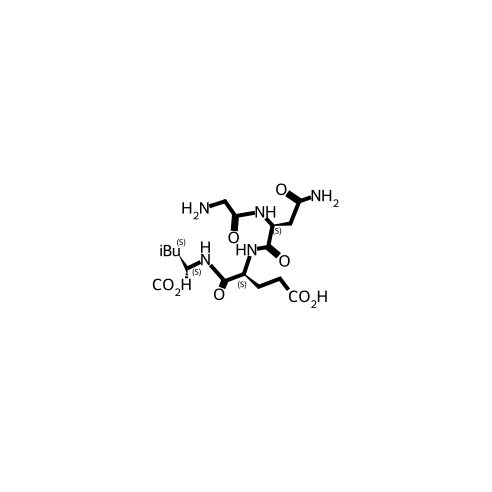 CC[C@H](C)[C@H](NC(=O)[C@H](CCC(=O)O)NC(=O)[C@H](CC(N)=O)NC(=O)CN)C(=O)O